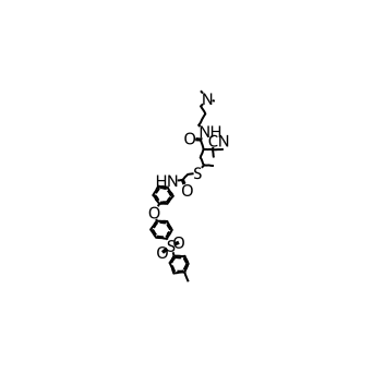 Cc1ccc(S(=O)(=O)c2ccc(Oc3ccc(NC(=O)CSC(C)CC(C(=O)NCCCN(C)C)C(C)(C)C#N)cc3)cc2)cc1